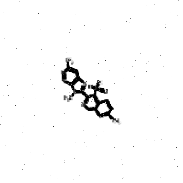 CCS(=O)(=O)c1c(-c2nc3cc(C(F)(F)F)nnc3n2C)ncc2cc(C)ccc12